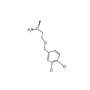 C[C@H](N)CCOCc1ccc(Cl)c(Cl)c1